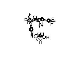 CCCc1cn(CC(=O)N(CCN(CC)CC)Cc2ccc(-c3ccc(C(F)(F)F)cc3)cc2)c(SCc2ccc(F)cc2)nc1=O.O=C(O)C(O)C(O)C(=O)O